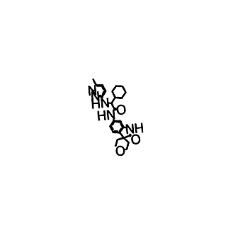 Cc1ccc(N[C@H](C(=O)Nc2ccc3c(c2)NC(=O)C32CCOCC2)C2CCCCC2)nn1